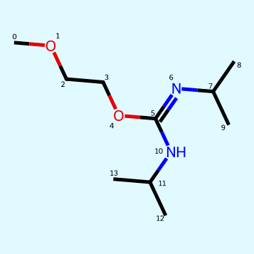 COCCOC(=NC(C)C)NC(C)C